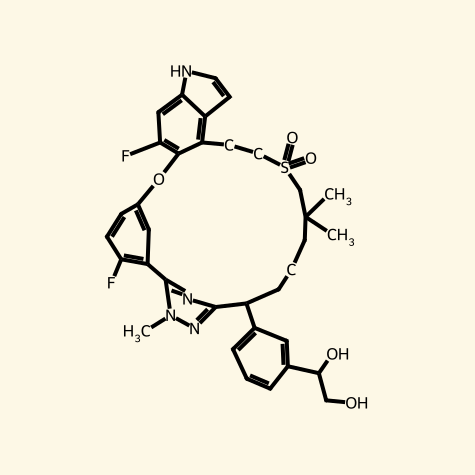 Cn1nc2nc1-c1cc(ccc1F)Oc1c(F)cc3[nH]ccc3c1CCS(=O)(=O)CC(C)(C)CCCC2c1cccc(C(O)CO)c1